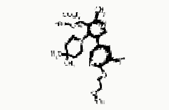 Cc1ncc(-c2cnc(OCCOC(C)(C)C)c(F)c2)c(N2CCC(C)(C)CC2)c1[C@H](OC(C)(C)C)C(=O)O